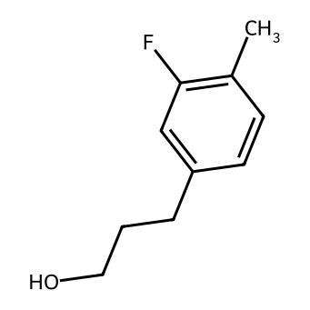 Cc1ccc(CCCO)cc1F